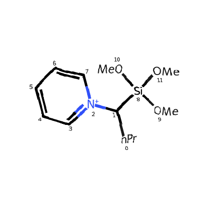 CCCC([n+]1ccccc1)[Si](OC)(OC)OC